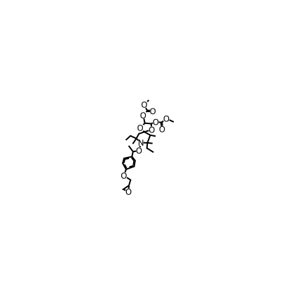 CCC1(C)CC2(OC(OC(=O)OC)C(OC(=O)OC)O2)C(C)C(C)(CC)N1OC(C)c1ccc(OCC2CO2)cc1